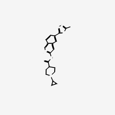 Cc1nnc(-c2ccc3cnc(NC(=O)C4CCN(C5CC5)CC4)cc3c2)s1